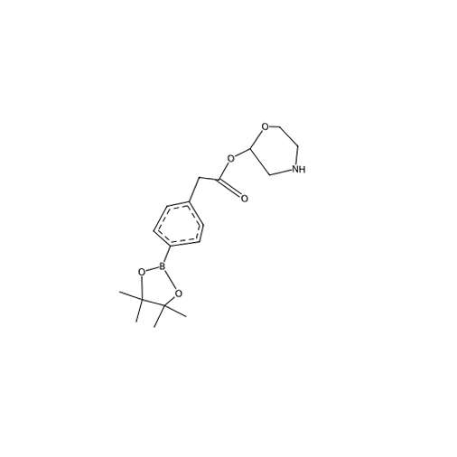 CC1(C)OB(c2ccc(CC(=O)OC3CNCCO3)cc2)OC1(C)C